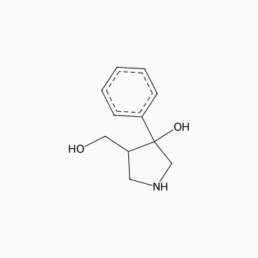 OCC1CNCC1(O)c1ccccc1